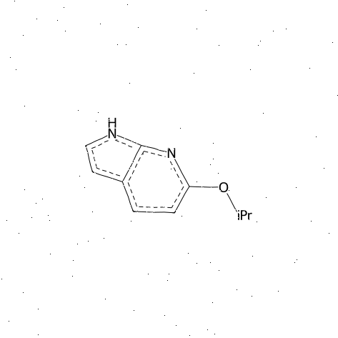 CC(C)Oc1ccc2cc[nH]c2n1